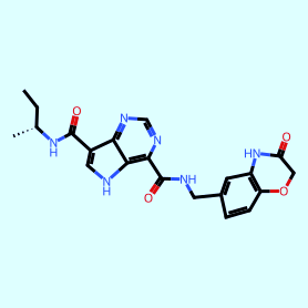 CC[C@@H](C)NC(=O)c1c[nH]c2c(C(=O)NCc3ccc4c(c3)NC(=O)CO4)ncnc12